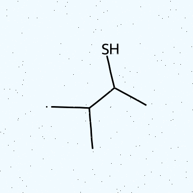 [CH2]C(C)C(C)S